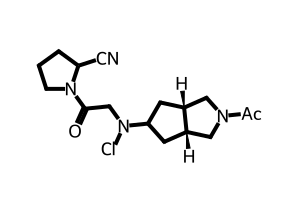 CC(=O)N1C[C@H]2CC(N(Cl)CC(=O)N3CCCC3C#N)C[C@H]2C1